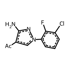 CC(=O)c1cn(-c2cccc(Cl)c2F)nc1N